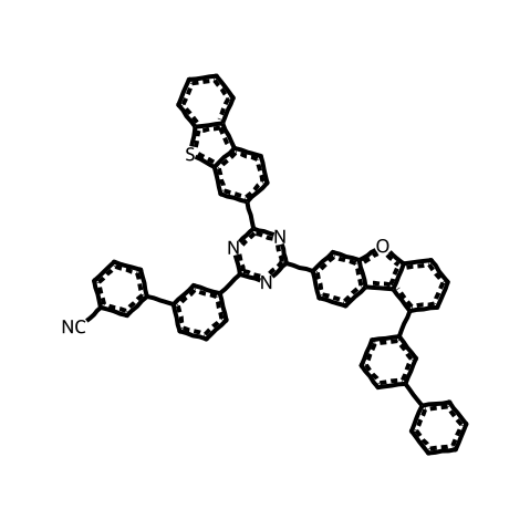 N#Cc1cccc(-c2cccc(-c3nc(-c4ccc5c(c4)oc4cccc(-c6cccc(-c7ccccc7)c6)c45)nc(-c4ccc5c(c4)sc4ccccc45)n3)c2)c1